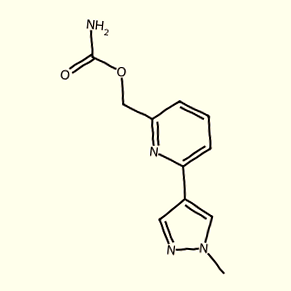 Cn1cc(-c2cccc(COC(N)=O)n2)cn1